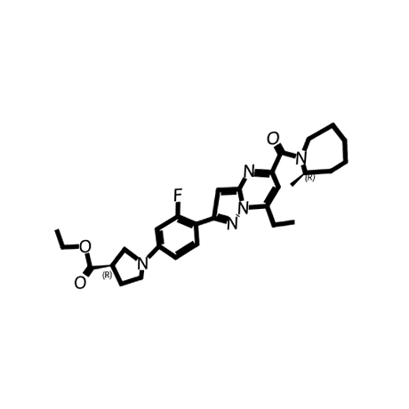 CCOC(=O)[C@@H]1CCN(c2ccc(-c3cc4nc(C(=O)N5CCCCC[C@H]5C)cc(CC)n4n3)c(F)c2)C1